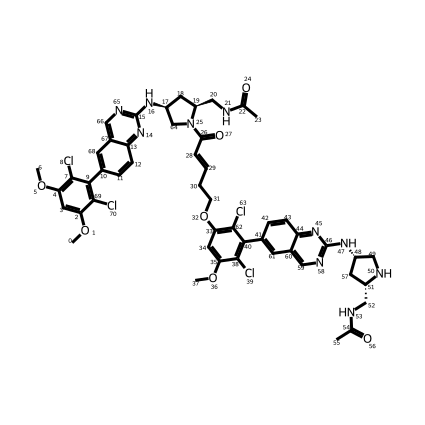 COc1cc(OC)c(Cl)c(-c2ccc3nc(N[C@H]4C[C@@H](CNC(C)=O)N(C(=O)/C=C/CCOc5cc(OC)c(Cl)c(-c6ccc7nc(N[C@@H]8CN[C@H](CNC(C)=O)C8)ncc7c6)c5Cl)C4)ncc3c2)c1Cl